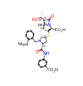 CNc1ccccc1CN1C[C@@H](SC2=C(C(=O)O)N3C(=O)[C@H]([C@@H](C)O)[C@H]3[C@H]2C)C[C@H]1C(=O)Nc1cccc(C(=O)O)c1